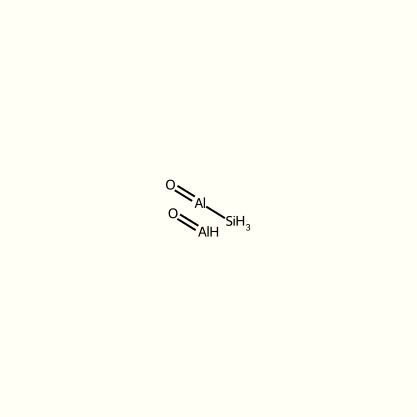 [O]=[AlH].[O]=[Al][SiH3]